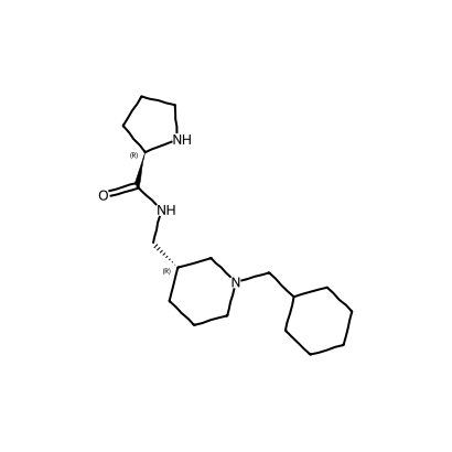 O=C(NC[C@H]1CCCN(CC2CCCCC2)C1)[C@H]1CCCN1